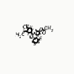 CCc1cc(C(=O)N2CC(OC(C)=O)C[C@@H]2c2ccccc2F)ccc1Cl